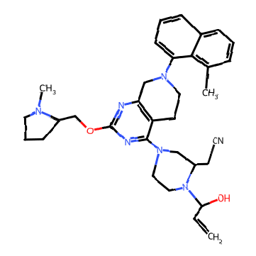 C=CC(O)N1CCN(c2nc(OCC3CCCN3C)nc3c2CCN(c2cccc4cccc(C)c24)C3)CC1CC#N